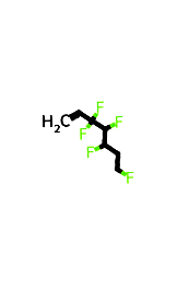 C=CC(F)(F)C(F)C(F)CCF